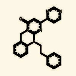 O=c1cc(-c2ccncn2)nc2n1Cc1ccccc1N2CCc1ccccc1